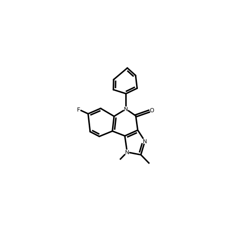 Cc1nc2c(=O)n(-c3ccccc3)c3cc(F)ccc3c2n1C